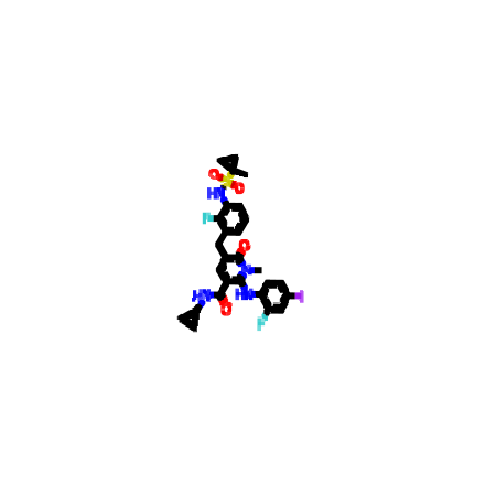 Cn1c(Nc2ccc(I)cc2F)c(C(=O)NC2CC2)cc(Cc2cccc(NS(=O)(=O)C3(C)CC3)c2F)c1=O